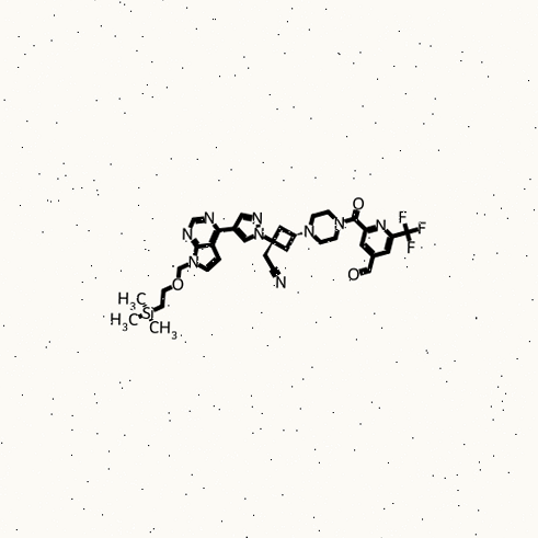 C[Si](C)(C)CCOCn1ccc2c(-c3cnn([C@]4(CC#N)C[C@H](N5CCN(C(=O)c6cc(C=O)cc(C(F)(F)F)n6)CC5)C4)c3)ncnc21